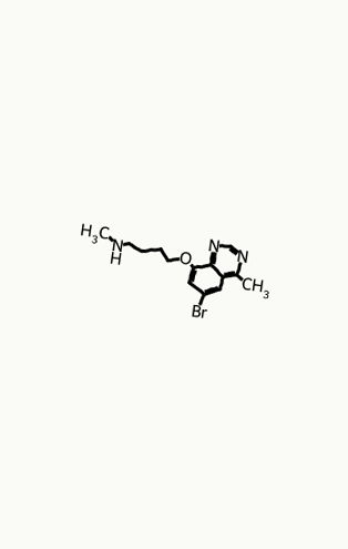 CNCCCCOc1cc(Br)cc2c(C)ncnc12